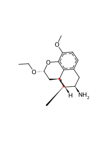 CCO[C@H]1C[C@]23C=C[C@H](C)C[C@H]2[C@H](N)Cc2ccc(OC)c(c23)O1